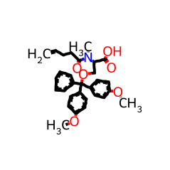 C=CCCC(=O)N(C)C(COC(c1ccccc1)(c1ccc(OC)cc1)c1ccc(OC)cc1)C(=O)O